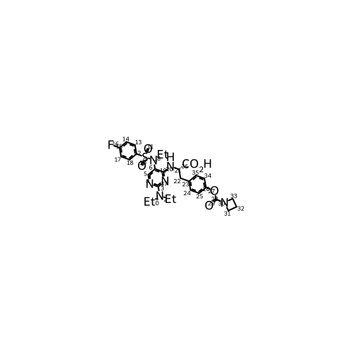 CCN(CC)c1ncc(N(CC)S(=O)(=O)c2ccc(F)cc2)c(N[C@@H](Cc2ccc(OC(=O)N3CCC3)cc2)C(=O)O)n1